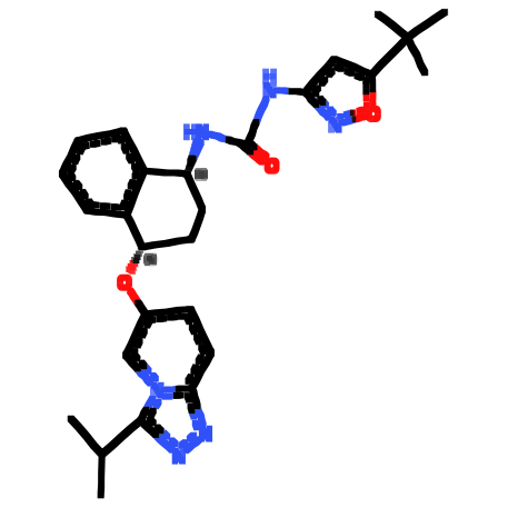 CC(C)c1nnc2ccc(O[C@H]3CC[C@H](NC(=O)Nc4cc(C(C)(C)C)on4)c4ccccc43)cn12